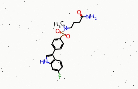 CN(CCCC(N)=O)S(=O)(=O)c1ccc(-c2c[nH]c3cc(F)ccc23)cc1